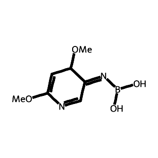 COC1=CC(OC)C(=NB(O)O)C=N1